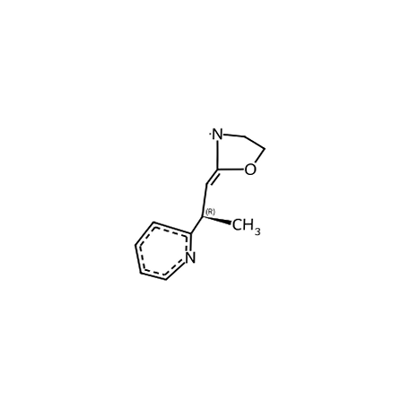 C[C@H](C=C1[N]CCO1)c1ccccn1